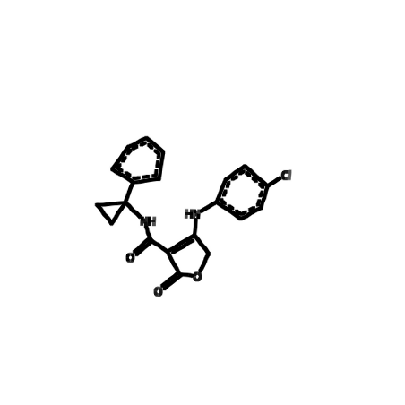 O=C(NC1(c2ccccc2)CC1)C1=C(Nc2ccc(Cl)cc2)COC1=O